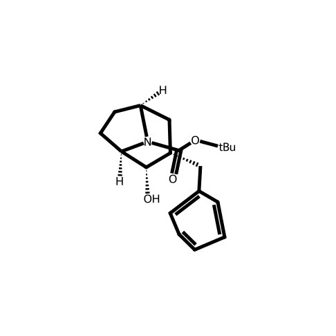 CC(C)(C)OC(=O)N1[C@H]2CC[C@@H]1[C@@H](O)[C@@H](Cc1ccccc1)C2